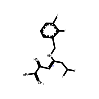 C=C(CCC)C(=N)/C=C(/CC(F)F)NCc1cccc(F)c1F